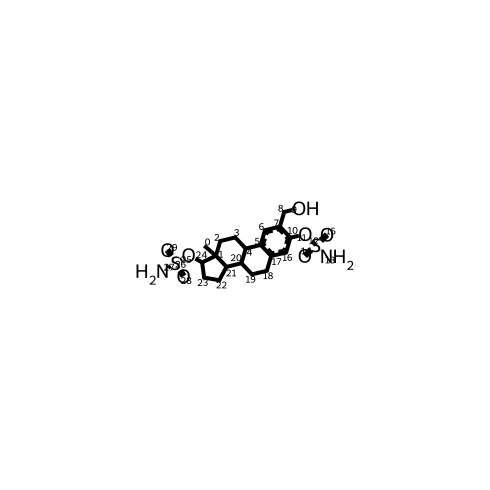 CC12CCC3c4cc(CO)c(OS(N)(=O)=O)cc4CCC3C1CCC2OS(N)(=O)=O